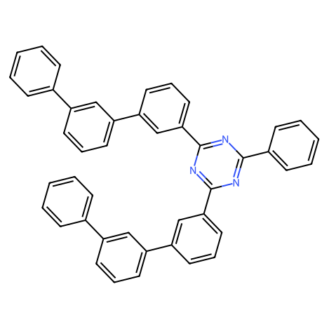 c1ccc(-c2cccc(-c3cccc(-c4nc(-c5ccccc5)nc(-c5cccc(-c6cccc(-c7ccccc7)c6)c5)n4)c3)c2)cc1